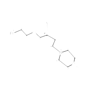 CC(C)CCOC[C@H](C)CCN1CCOCC1